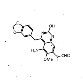 COc1c(NC=O)cc2nc(O)nc(Cc3ccc4c(c3)OCO4)c2c1N